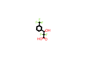 O=C(O)C(F)(F)C(O)c1cccc(C(F)(F)F)c1